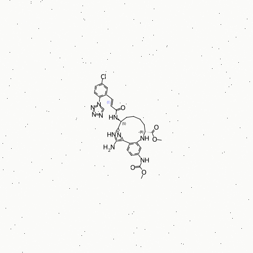 COC(=O)Nc1ccc2c(c1)N[C@@H](C(=O)OC)CCCC[C@H](NC(=O)/C=C/c1cc(Cl)ccc1-n1cnnn1)c1nc-2c(N)[nH]1